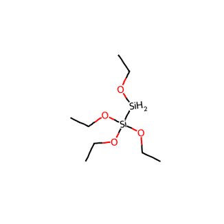 CCO[SiH2][Si](OCC)(OCC)OCC